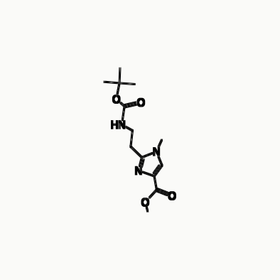 COC(=O)c1cn(C)c(CCNC(=O)OC(C)(C)C)n1